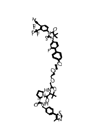 Cc1ncsc1-c1ccc(CNC(=O)[C@@H]2CCCN2C(=O)C(NC(=O)COCCOCCOc2ccc(-c3ccc(N4C(=S)N(c5ccc(C#N)c(C(F)(F)F)c5)C(=O)C4(C)C)cc3F)cc2)C(C)(C)C)cc1